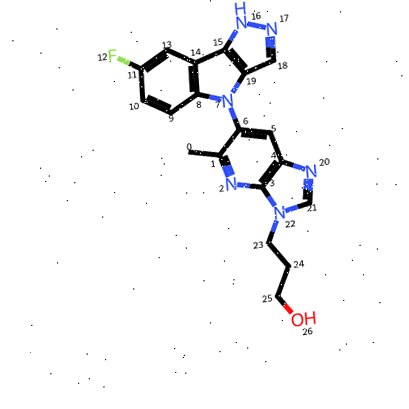 Cc1nc2c(cc1-n1c3ccc(F)cc3c3[nH]ncc31)ncn2CCCO